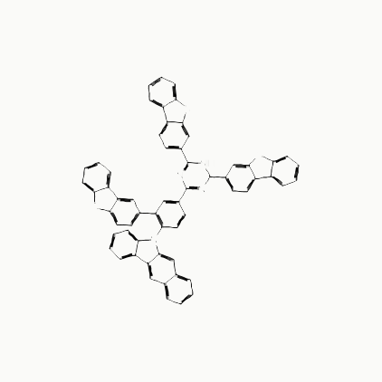 c1ccc2cc3c(cc2c1)c1ccccc1n3-c1ccc(C2=NC(c3ccc4c(c3)sc3ccccc34)NC(c3ccc4c(c3)sc3ccccc34)=N2)cc1-c1ccc2sc3ccccc3c2c1